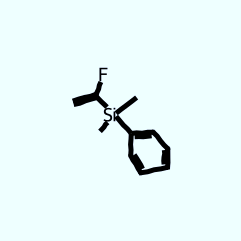 C=C(F)[Si](C)(C)c1ccccc1